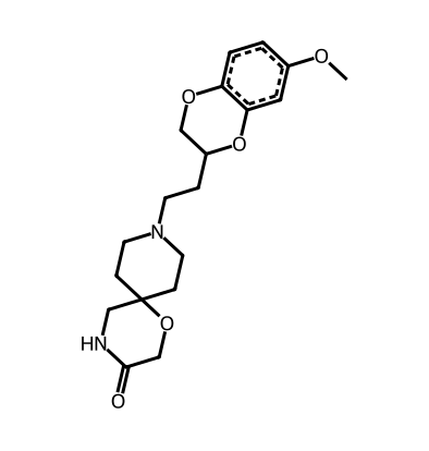 COc1ccc2c(c1)OC(CCN1CCC3(CC1)CNC(=O)CO3)CO2